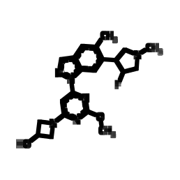 COc1nc(N2CC(O)C2)cc(-n2ncc3cc(C)c(C4CN(C)CC4F)cc32)n1